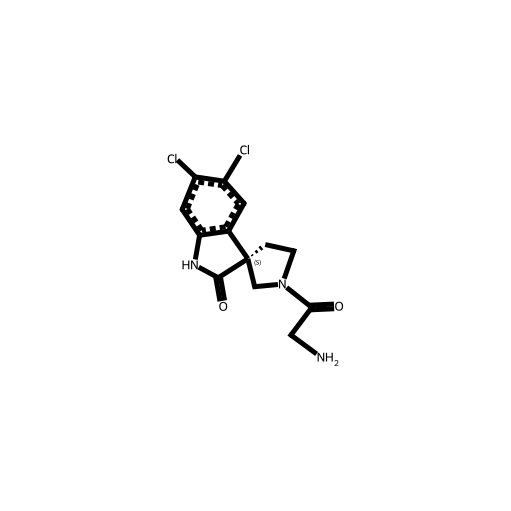 NCC(=O)N1CC[C@]2(C1)C(=O)Nc1cc(Cl)c(Cl)cc12